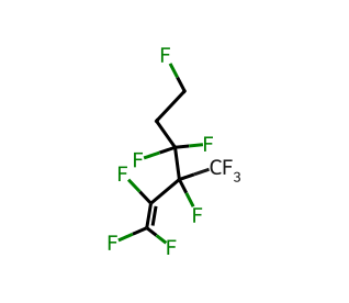 FCCC(F)(F)C(F)(C(F)=C(F)F)C(F)(F)F